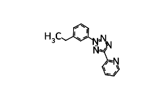 CCc1cccc(-n2nnc(-c3ccccn3)n2)c1